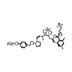 COc1ccc(CO[C@H]2CCC[C@@H]2/C=C\C(C)C2OC(C)(C)OC2C/C=C/c2cc(C)cc(C)c2C(=O)OCC[Si](C)(C)C)cc1